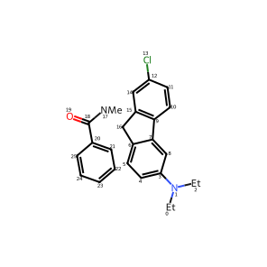 CCN(CC)c1ccc2c(c1)-c1ccc(Cl)cc1C2.CNC(=O)c1ccccc1